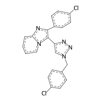 Clc1ccc(Cn2cc(-c3c(-c4ccc(Cl)cc4)nc4ccccn34)nn2)cc1